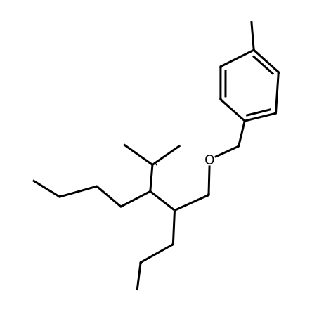 CCCCC([C](C)C)C(CCC)COCc1ccc(C)cc1